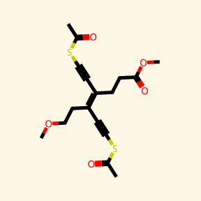 COCC/C(C#CSC(C)=O)=C(\C#CSC(C)=O)CCC(=O)OC